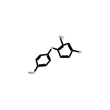 COc1ccc(Oc2ccc(Cl)cc2[N+](=O)[O-])cc1